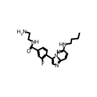 CCCCNc1ccc2ncc(-c3ccc(C(=O)NCCN)cc3F)n2n1